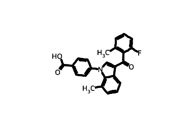 Cc1cccc(F)c1C(=O)c1cn(-c2ccc(C(=O)O)cc2)c2c(C)cccc12